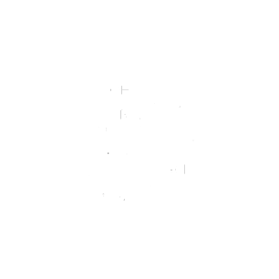 OB(O)c1cccc(Cl)c1-c1ccccc1